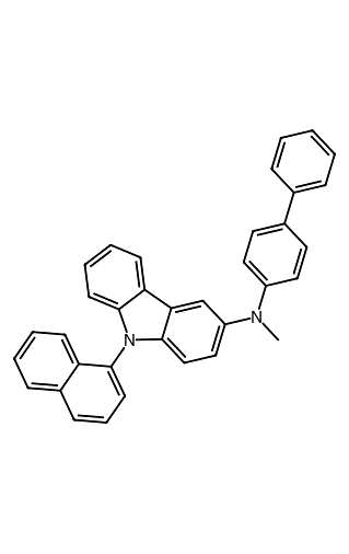 CN(c1ccc(-c2ccccc2)cc1)c1ccc2c(c1)c1ccccc1n2-c1cccc2ccccc12